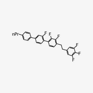 CCCc1ccc(-c2ccc(-c3ccc(CCc4cc(F)c(F)c(F)c4)c(F)c3F)c(F)c2)cc1